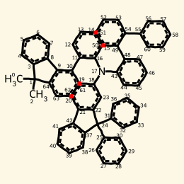 CC1(C)c2ccccc2-c2c(-c3ccccc3N(c3ccc4c(c3)C(c3ccccc3)(c3ccccc3)c3ccccc3-4)c3ccccc3-c3ccccc3-c3ccccc3)cccc21